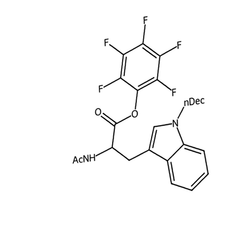 CCCCCCCCCCn1cc(CC(NC(C)=O)C(=O)Oc2c(F)c(F)c(F)c(F)c2F)c2ccccc21